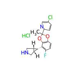 CC1(c2ccc(Cl)cn2)Oc2ccc(F)c([C@@H]3[C@@H]4CNC[C@@H]43)c2O1.Cl